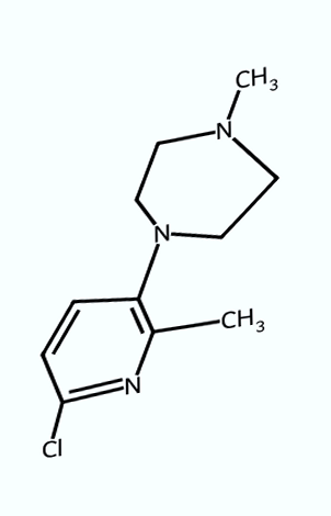 Cc1nc(Cl)ccc1N1CCN(C)CC1